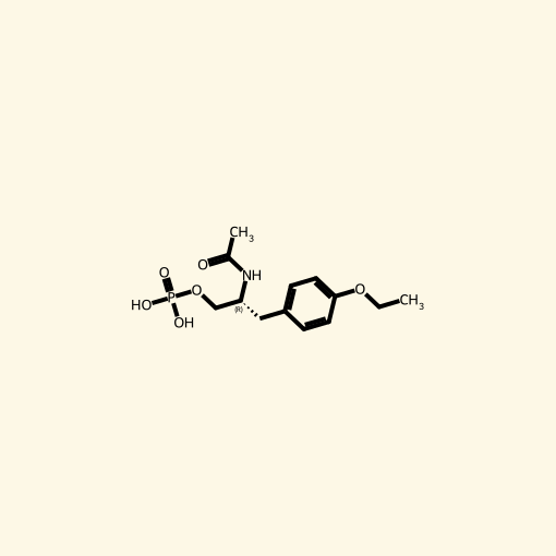 CCOc1ccc(C[C@H](COP(=O)(O)O)NC(C)=O)cc1